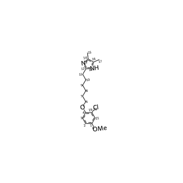 COc1ccc(OCCCCCCc2nc(C)c(C)[nH]2)c(Cl)c1